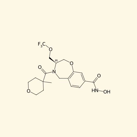 CC1(C(=O)N2Cc3ccc(C(=O)NO)cc3OC[C@@H]2COC(F)(F)F)CCOCC1